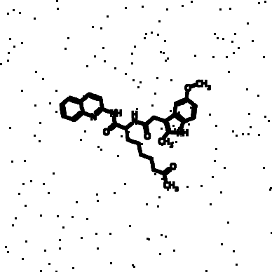 COc1ccc2[nH]c(C)c(CC(=O)N[C@@H](CCCCCC(C)=O)C(=O)Nc3ccc4ccccc4n3)c2c1